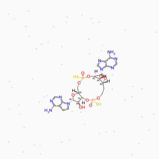 Nc1ncnc2c1ccn2[C@@H]1O[C@@H]2COP(=O)(S)O[C@@H]3[C@H](O)[C@@H](CCOP(=O)(S)O[C@H]2[C@H]1O)O[C@H]3n1cnc2c(N)ncnc21